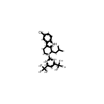 CC(C)CC1c2[nH]c3ccc(Cl)cc3c2CCN1c1nc(C(F)(F)F)cc(C(F)(F)F)n1